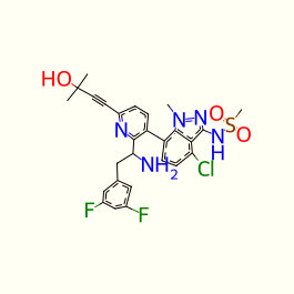 Cn1nc(NS(C)(=O)=O)c2c(Cl)ccc(-c3ccc(C#CC(C)(C)O)nc3C(N)Cc3cc(F)cc(F)c3)c21